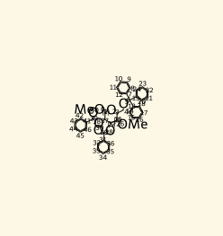 CO[C@@H]1OC(COC(c2ccccc2)(c2ccccc2)c2ccccc2)[C@@H](OC)[C@H](OC(=O)c2ccccc2)C1OC(=O)c1ccccc1